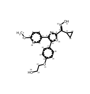 COc1ccc(-c2nc(C(=NO)C3CC3)oc2-c2ccc(OCCO)cc2)cn1